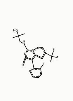 CC(C)(O)CNc1nc(=O)c(-c2ccccc2F)c2cc(C(F)(F)F)ccn12